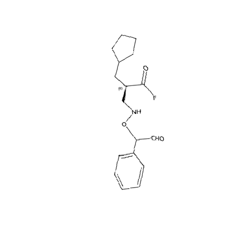 O=CC(ONC[C@@H](CC1CCCC1)C(=O)F)c1ccccc1